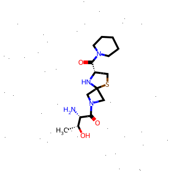 C[C@@H](O)[C@H](N)C(=O)N1CC2(C1)N[C@H](C(=O)N1CCCCC1)CS2